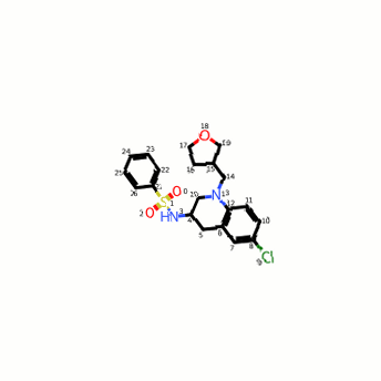 O=S(=O)(NC1Cc2cc(Cl)ccc2N(CC2CCOC2)C1)c1ccccc1